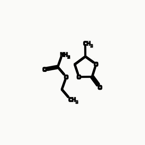 CC1COC(=O)O1.CCOC(N)=O